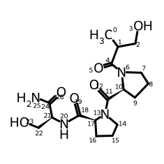 CC(CO)C(=O)N1CCC[C@H]1C(=O)N1CCC[C@H]1C(=O)N[C@@H](CO)C(N)=O